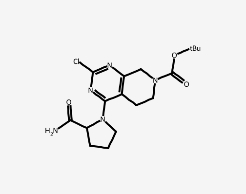 CC(C)(C)OC(=O)N1CCc2c(nc(Cl)nc2N2CCCC2C(N)=O)C1